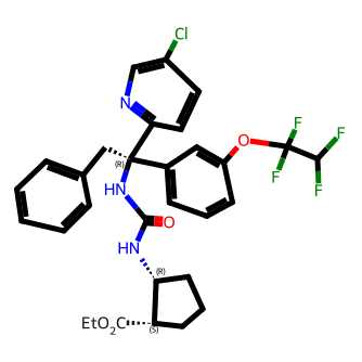 CCOC(=O)[C@H]1CCC[C@H]1NC(=O)N[C@](Cc1ccccc1)(c1cccc(OC(F)(F)C(F)F)c1)c1ccc(Cl)cn1